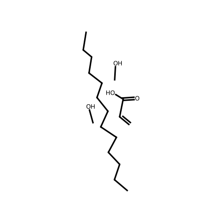 C=CC(=O)O.CCCCCCCCCCCCC.CO.CO